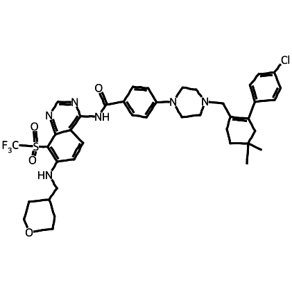 CC1(C)CCC(CN2CCN(c3ccc(C(=O)Nc4ncnc5c(S(=O)(=O)C(F)(F)F)c(NCC6CCOCC6)ccc45)cc3)CC2)=C(c2ccc(Cl)cc2)C1